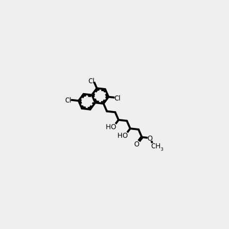 COC(=O)CC(O)CC(O)CCc1c(Cl)cc(Cl)c2cc(Cl)ccc12